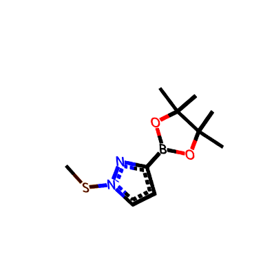 CSn1ccc(B2OC(C)(C)C(C)(C)O2)n1